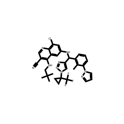 Cc1c(C(Nc2cc(Cl)c3ncc(C#N)c(NCC(C)(C)C)c3c2)c2cn(C3(C(F)(F)F)CC3)nn2)cccc1-n1cccn1